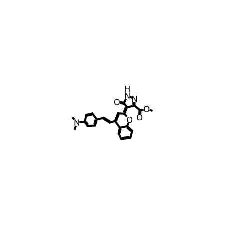 COC(=O)C1=NNC(=O)/C1=C1C=C(/C=C/c2ccc(N(C)C)cc2)c2ccccc2O\1